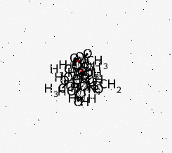 C=CS(=O)(=O)N[C@H]1C2C[C@@H]3O[C@@H]3[C@H](O)[C@]2(C)[C@H]2[C@H](OC(C)=O)[C@H](O)[C@@]3(C(C)=O)[C@@H]([C@@H](O)[C@@H]4[C@@H]3[C@H](C)[C@H]3O[C@]35OC(=O)[C@@](C)(O)[C@]45C)[C@@H]2[C@H]1O